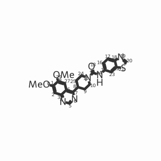 COc1cc2ncnc(C3CCN(C(=O)Nc4ccc5ncsc5c4)CC3)c2cc1OC